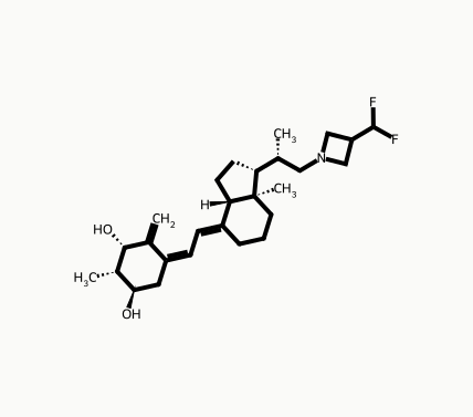 C=C1/C(=C\C=C2/CCC[C@]3(C)[C@@H]([C@H](C)CN4CC(C(F)F)C4)CC[C@@H]23)C[C@@H](O)[C@H](C)[C@@H]1O